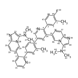 Cc1cc(-c2ncc(-c3ccc(-c4ncccc4-c4ccc5ncc(N(C)C)n5c4)cc3C)cc2-c2ccc3ncc(N(C)C)n3c2)ccc1F